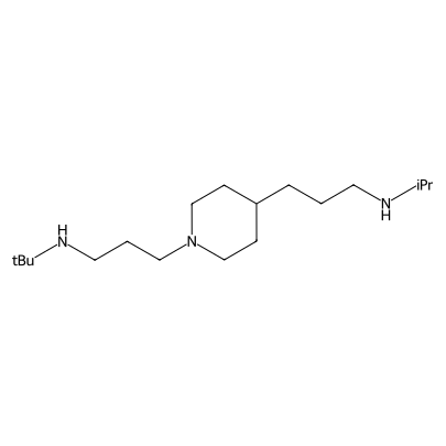 CC(C)NCCCC1CCN(CCCNC(C)(C)C)CC1